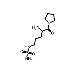 NC(CCCNS(N)(=O)=O)C(=O)N1CCCC1